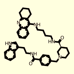 O=C(NCCc1c[nH]c2ccccc12)c1ccc(CN2CCC[C@H](C(=O)NCCCCNc3c4c(nc5ccccc35)CCCC4)C2)cc1